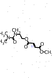 COC(=O)/C=C/C(=O)OCCN(C)C(=O)N(C)C